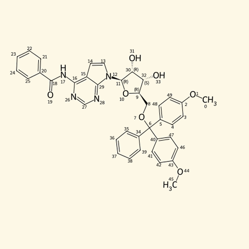 COc1ccc(C(OC[C@H]2O[C@@H](n3ccc4c(NC(=O)c5ccccc5)ncnc43)[C@H](O)[C@@H]2O)(c2ccccc2)c2ccc(OC)cc2)cc1